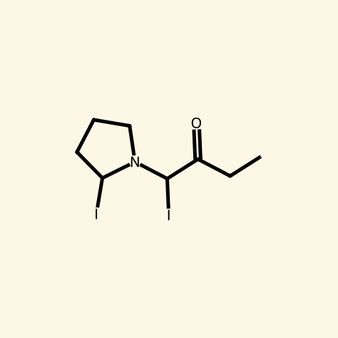 CCC(=O)C(I)N1CCCC1I